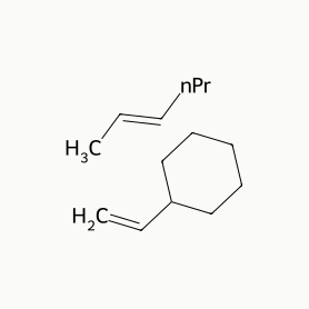 C=CC1CCCCC1.CC=CCCC